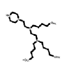 CCCCCCCCCCCCCCN(CCCCCCCCCCCCCC)CCN(CCCCCCCCCCCCCC)CCN1CCNCC1